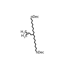 CCCCCCCCCCCCCCCCCCC(CCCCCCCCCCCCCCCCCC)CCN(C)C